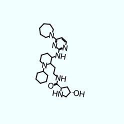 O=C(NCCC1C(Nc2nccc(N3CCCCCC3)n2)CCCN1C1CCCCC1)[C@H]1C[C@H](O)CN1